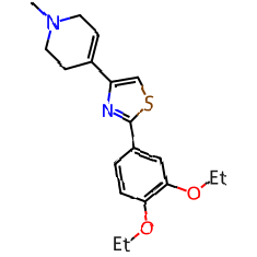 CCOc1ccc(-c2nc(C3=CCN(C)CC3)cs2)cc1OCC